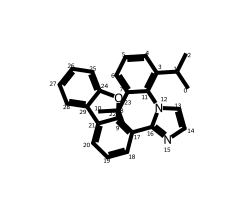 CC(C)c1cccc(C(C)C)c1-n1ccnc1-c1cccc2c1oc1ccccc12